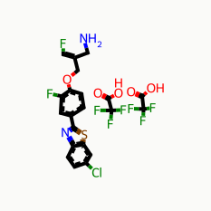 NCC(=CF)COc1ccc(-c2nc3ccc(Cl)cc3s2)cc1F.O=C(O)C(F)(F)F.O=C(O)C(F)(F)F